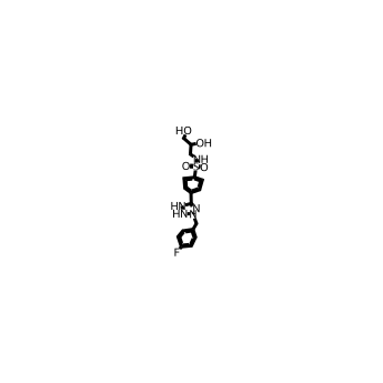 O=S(=O)(NCC(O)CO)c1ccc(C2=NN(Cc3ccc(F)cc3)NN2)cc1